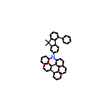 CC1(C)c2cc(N(c3ccccc3)c3ccc4ccccc4c3-c3ccccc3-c3ccccc3)ccc2-c2c(-c3ccccc3)cccc21